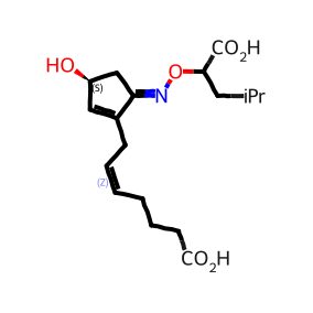 CC(C)CC(ON=C1C[C@H](O)C=C1C/C=C\CCCC(=O)O)C(=O)O